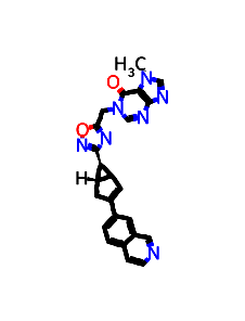 Cn1cnc2ncn(Cc3nc([C@H]4C5C=C(c6ccc7ccncc7c6)C[C@@H]54)no3)c(=O)c21